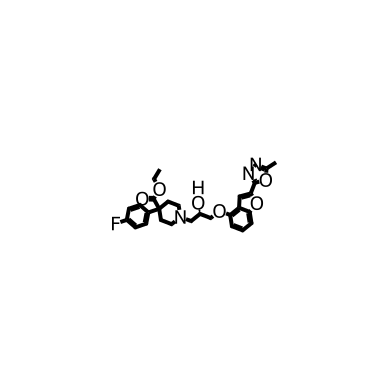 CCOC(=O)C1(c2ccc(F)cc2)CCN(C[C@H](O)COc2cccc3oc(-c4nnc(C)o4)cc23)CC1